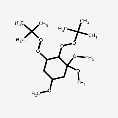 COC1CC(OOC(C)(C)C)C(OOC(C)(C)C)C(OC)(OC)C1